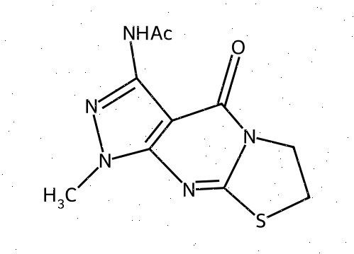 CC(=O)Nc1nn(C)c2nc3n(c(=O)c12)CCS3